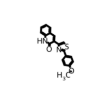 COc1ccc(-c2nc(-c3cc4ccccc4[nH]c3=O)cs2)cc1